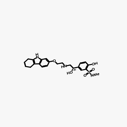 CNS(=O)(=O)c1cc([C@@H](O)CNCCOc2ccc3c4c([nH]c3c2)CCCC4)ccc1O